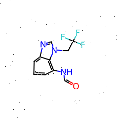 O=CNc1cccc2ncn(CC(F)(F)F)c12